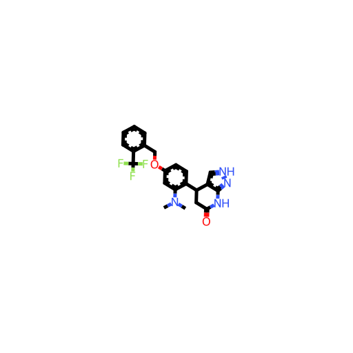 CN(C)c1cc(OCc2ccccc2C(F)(F)F)ccc1C1CC(=O)Nc2n[nH]cc21